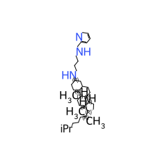 CC(C)CCC[C@@H](C)[C@H]1CC[C@H]2[C@@H]3CCC4C[C@H](NCCCCNCc5ccccn5)CC[C@]4(C)[C@H]3CC[C@]12C